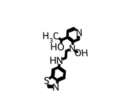 CC(O)c1ccncc1N(O)CCNc1ccc2ncsc2c1